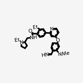 CCc1cc(-c2cc(Oc3ccc(C=N)c(NC)c3)ccn2)ccc1C(=O)NCC1CCCN1CC